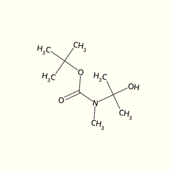 CN(C(=O)OC(C)(C)C)C(C)(C)O